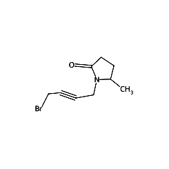 CC1CCC(=O)N1CC#CCBr